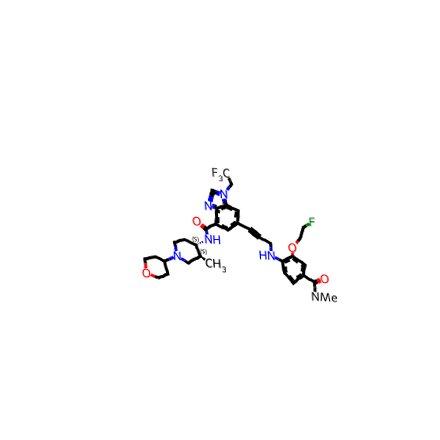 CNC(=O)c1ccc(NCC#Cc2cc(C(=O)N[C@H]3CCN(C4CCOCC4)C[C@@H]3C)c3ncn(CC(F)(F)F)c3c2)c(OCCF)c1